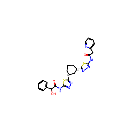 O=C(Cc1ccccn1)Nc1nnc([C@H]2CCC[C@H](c3nnc(NC(=O)C(O)c4ccccc4)s3)C2)s1